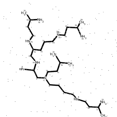 CCCC(CN(CCCCNCCC(C)N)CCC(C)N)NCC(CCCNCCC(C)N)NCCC(C)N